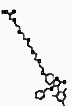 Cc1cc(C)c(C2=C(OCc3ccccc3)[C@]3(CC[C@H](OCCOCCOCCOCCOCCOCC(=O)O)CC3)OC2=O)c(C)c1